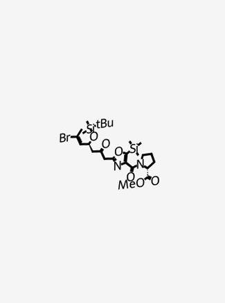 COC(=O)[C@H]1CCCN1C(=O)c1nc(CC(=O)C[C@@H](/C=C(\C)Br)O[Si](C)(C)C(C)(C)C)oc1[Si](C)(C)C